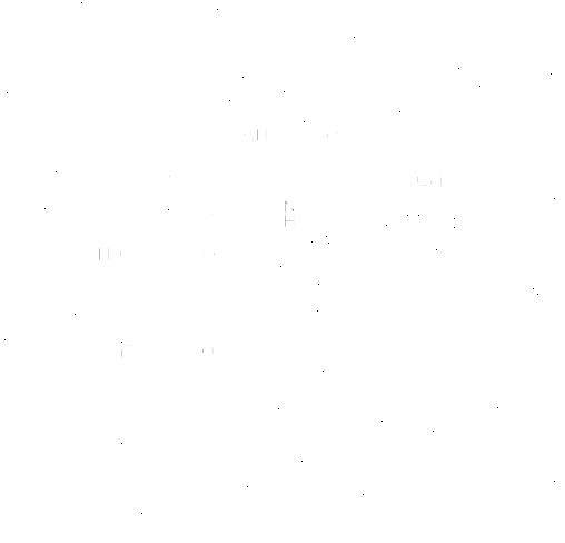 CC(C)[C@@H](Oc1cccc(-c2ccccc2)c1)[C@H](C)OC(=O)[C@H](C)NC(=O)OC(C)(C)C